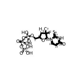 CC1(F)CC(COP(=O)(O)OP(=O)(O)OP(=O)(O)O)O[C@H]1n1ccc(=O)[nH]c1=S